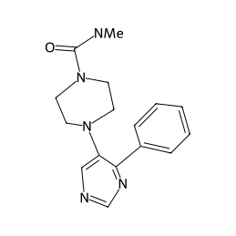 CNC(=O)N1CCN(c2cncnc2-c2ccccc2)CC1